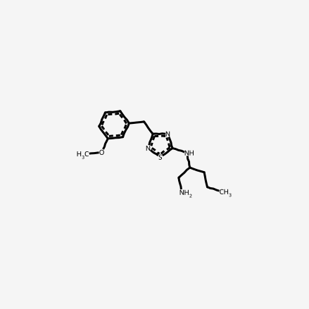 CCCC(CN)Nc1nc(Cc2cccc(OC)c2)ns1